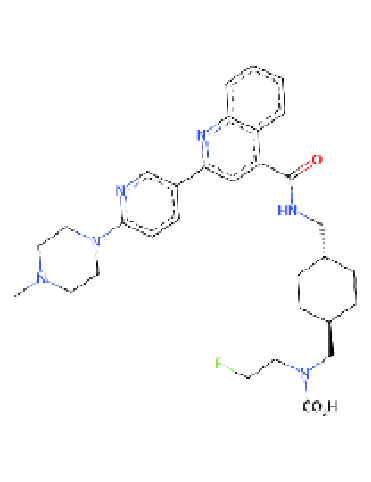 CN1CCN(c2ccc(-c3cc(C(=O)NC[C@H]4CC[C@H](CN(CCF)C(=O)O)CC4)c4ccccc4n3)cn2)CC1